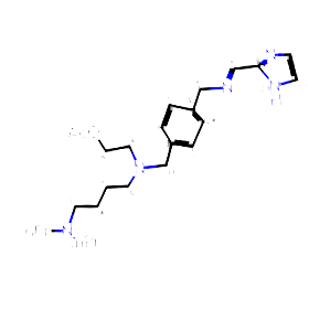 CCCN(CCC)CCCCN(CCOC(C)=O)Cc1ccc(CN=Cc2ncc[nH]2)cc1